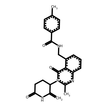 C=C1NC(=O)CCC1n1c(C)nc2cccc(CNC(=O)c3ccc(C)cc3)c2c1=O